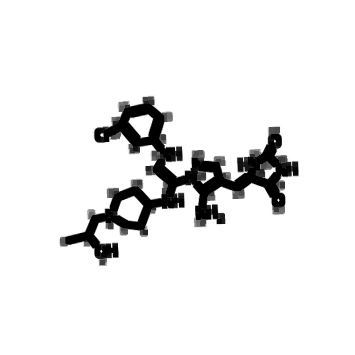 CC(O)CN1CCC(N/C(=C/Nc2cccc(Cl)c2)n2ncc(/C=C3\NC(=O)NC3=O)c2N)CC1